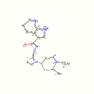 CC(C)(C)C1CC(n2ccs/c2=N\C(=O)c2c[nH]c3ncccc23)CCN1C(=O)O